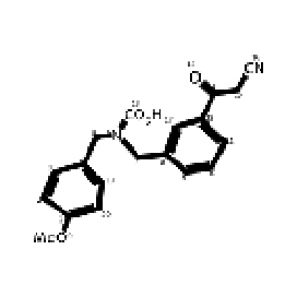 COc1ccc(CN(Cc2cccc(C(=O)CC#N)c2)C(=O)O)cc1